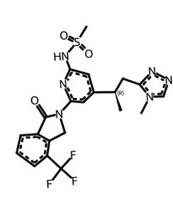 C[C@H](Cc1nncn1C)c1cc(NS(C)(=O)=O)nc(N2Cc3c(cccc3C(F)(F)F)C2=O)c1